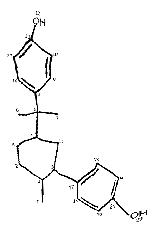 CC1CCC(C(C)(C)c2ccc(O)cc2)CC1c1ccc(O)cc1